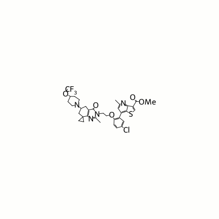 COC(=O)c1csc2c(-c3cc(Cl)ccc3OCCn3c(C)nc4c(c3=O)CC(N3CCC(OC(F)(F)F)CC3)CC43CC3)cc(C)nc12